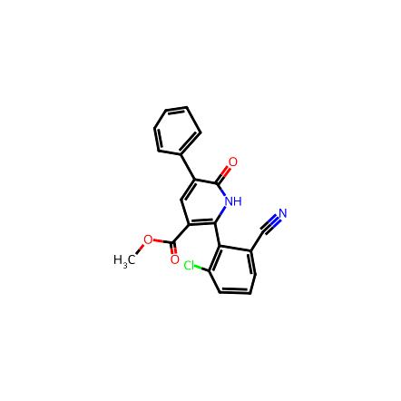 COC(=O)c1cc(-c2ccccc2)c(=O)[nH]c1-c1c(Cl)cccc1C#N